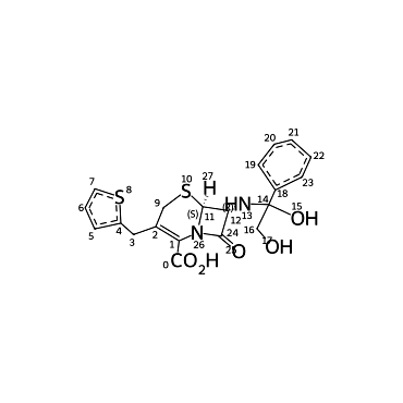 O=C(O)C1=C(Cc2cccs2)CS[C@H]2[C@H](NC(O)(CO)c3ccccc3)C(=O)N12